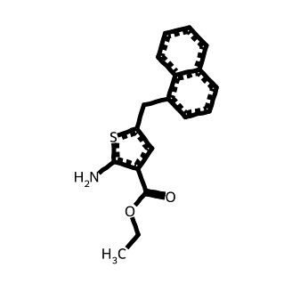 CCOC(=O)c1cc(Cc2cccc3ccccc23)sc1N